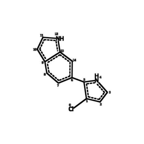 Clc1cc[nH]c1-c1ccc2cc[nH]c2c1